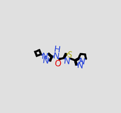 O=C(Nc1cnn(C2CCC2)c1)c1csc(-c2cnn3c2CCC3)n1